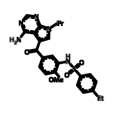 CCc1ccc(S(=O)(=O)Nc2cc(C(=O)c3cn(C(C)C)c4ncnc(N)c34)ccc2OC)cc1